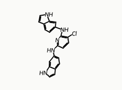 Clc1ccc(Nc2ccc3cc[nH]c3c2)nc1Nc1ccc2cc[nH]c2c1